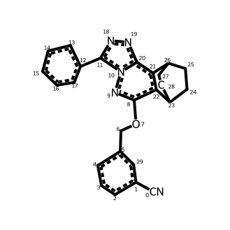 N#Cc1cccc(COc2nn3c(-c4ccccc4)nnc3c3c2C2CCC3CC2)c1